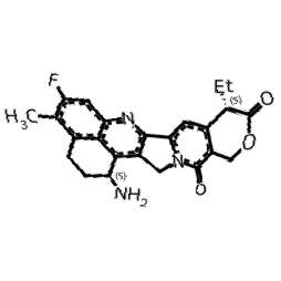 CC[C@@H]1C(=O)OCc2c1cc1n(c2=O)Cc2c-1nc1cc(F)c(C)c3c1c2[C@@H](N)CC3